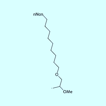 [CH2]C(COCCCCCCCCCCCCCCCCCC)OC